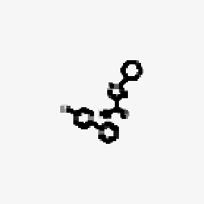 CCc1ccc(-c2ccccc2NC(=O)c2csc(C3CCCCC3)n2)cc1